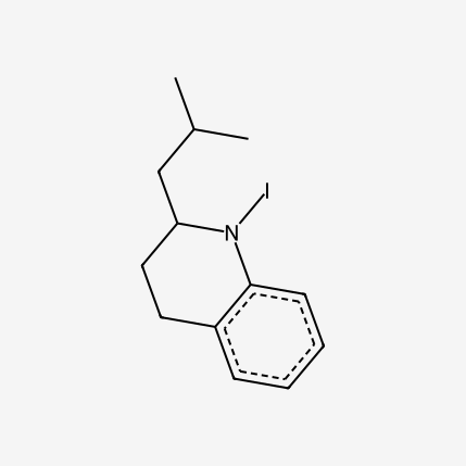 CC(C)CC1CCc2ccccc2N1I